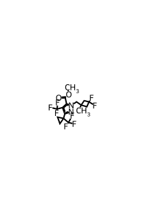 COC(=O)c1c(C(F)(F)F)c(C2(C(F)(F)F)CC2)nn1CC1(C)CC(F)(F)C1